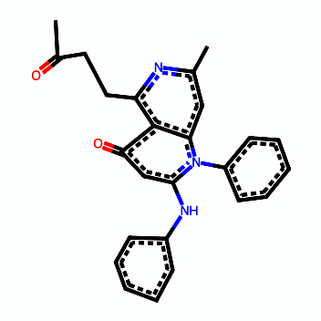 CC(=O)CCc1nc(C)cc2c1c(=O)cc(Nc1ccccc1)n2-c1ccccc1